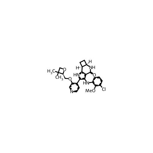 COc1c(Cl)cccc1Nc1c(-c2ccncc2OC[C@@H]2OCC2(C)C)[nH]c2c1C(=O)N[C@@H]1CC[C@H]21